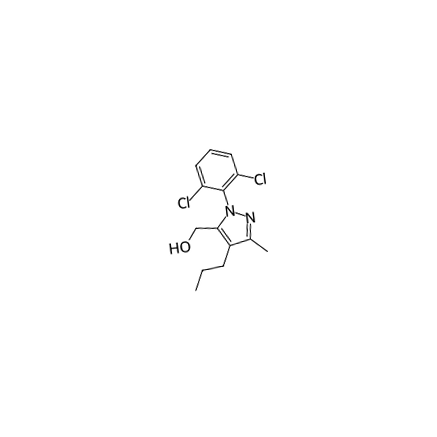 CCCc1c(C)nn(-c2c(Cl)cccc2Cl)c1CO